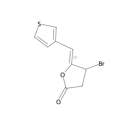 O=C1CC(Br)/C(=C/c2ccsc2)O1